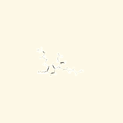 C=CNCSc1cc(N(CCOCCI)C(=O)OC(C)(C)C)ccc1NC